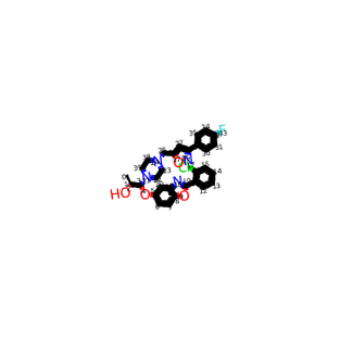 C[C@H](O)C(Oc1ccc2oc(-c3ccccc3Cl)nc2c1)N1CCN(Cc2cc(-c3ccc(F)cc3)no2)CC1